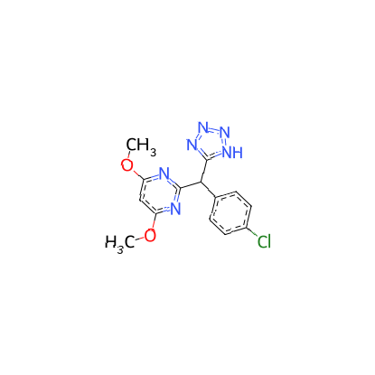 COc1cc(OC)nc(C(c2ccc(Cl)cc2)c2nnn[nH]2)n1